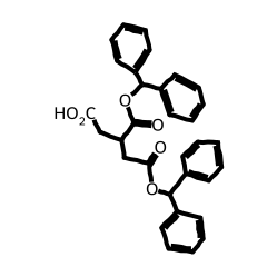 O=C(O)CC(CC(=O)OC(c1ccccc1)c1ccccc1)C(=O)OC(c1ccccc1)c1ccccc1